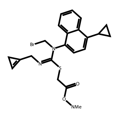 CNOC(=O)CS/C(=N/CC1=CC1)N(CBr)c1ccc(C2CC2)c2ccccc12